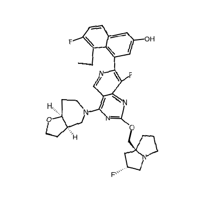 CCc1c(F)ccc2cc(O)cc(-c3ncc4c(N5CC[C@@H]6OCC[C@@H]6C5)nc(OC[C@@]56CCCN5C[C@H](F)C6)nc4c3F)c12